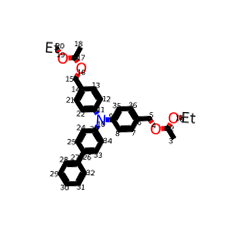 CCOC(C)OCc1ccc(N(c2ccc(COC(C)OCC)cc2)c2ccc(-c3ccccc3)cc2)cc1